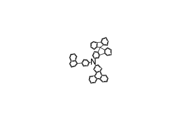 c1ccc2c(c1)-c1ccccc1C21c2ccccc2-c2cc(N(c3ccc(-c4cccc5ccccc45)cc3)c3ccc4c5ccccc5c5ccccc5c4c3)ccc21